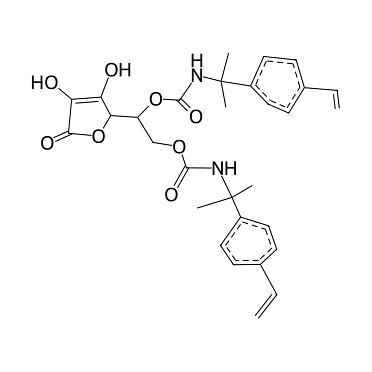 C=Cc1ccc(C(C)(C)NC(=O)OCC(OC(=O)NC(C)(C)c2ccc(C=C)cc2)C2OC(=O)C(O)=C2O)cc1